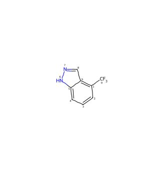 FC(F)(F)c1cccc2[nH]ncc12